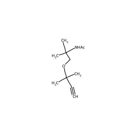 C#CC(C)(C)OCC(C)(C)NC(C)=O